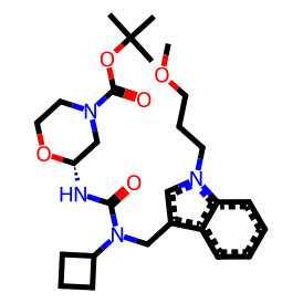 COCCCn1cc(CN(C(=O)N[C@H]2CN(C(=O)OC(C)(C)C)CCO2)C2CCC2)c2ccccc21